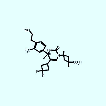 CC(C)(C)CCc1ccc([C@]2(C)NC(=O)N(C3(C)CC(C)(C(=O)O)C3)C=C2C2CC(F)(F)C2)cc1C(F)(F)F